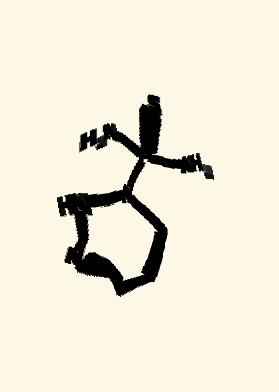 NP(N)(=S)N1C=CC=NN1